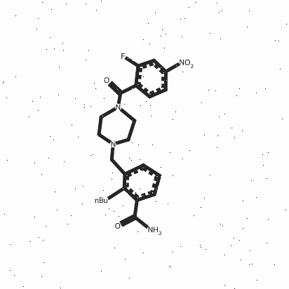 CCCCc1c(CN2CCN(C(=O)c3ccc([N+](=O)[O-])cc3F)CC2)cccc1C(N)=O